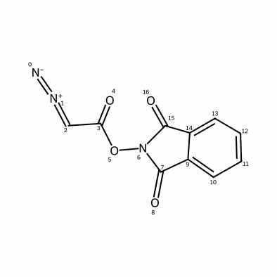 [N-]=[N+]=CC(=O)ON1C(=O)c2ccccc2C1=O